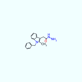 Cc1c(CC(=O)NN)c2ccccc2n1Cc1ccccc1